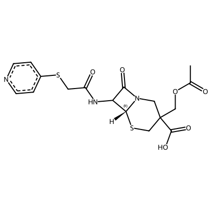 CC(=O)OCC1(C(=O)O)CS[C@@H]2C(NC(=O)CSc3ccncc3)C(=O)N2C1